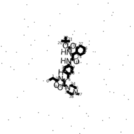 CCC(=O)N[C@H](Cc1ccc(NC(=O)[C@@H](NC(=O)OC(C)(C)C)C2CCCCC2)cc1)C(=O)N1CCN(C)CC1